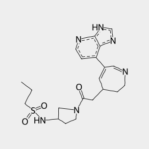 CCCS(=O)(=O)NC1CCN(C(=O)CC2C=C(c3ccnc4[nH]cnc34)C=NCC2)C1